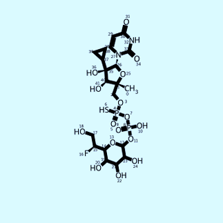 C[C@]1(COP(=O)(S)OP(=O)(O)OC2OC([C@@H](F)CO)C(O)C(O)C2O)O[C@@H](n2ccc(=O)[nH]c2=O)[C@@](O)(C2CC2)[C@@H]1O